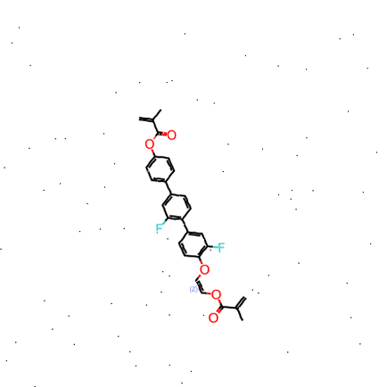 C=C(C)C(=O)O/C=C\Oc1ccc(-c2ccc(-c3ccc(OC(=O)C(=C)C)cc3)cc2F)cc1F